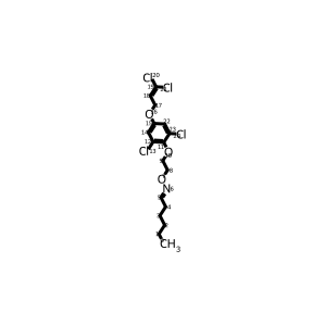 CCCCCC=NOCCOc1c(Cl)cc(OCC=C(Cl)Cl)cc1Cl